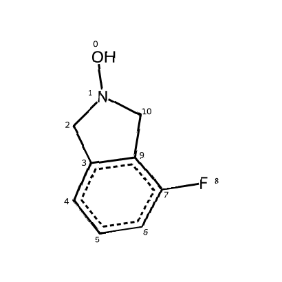 ON1Cc2cccc(F)c2C1